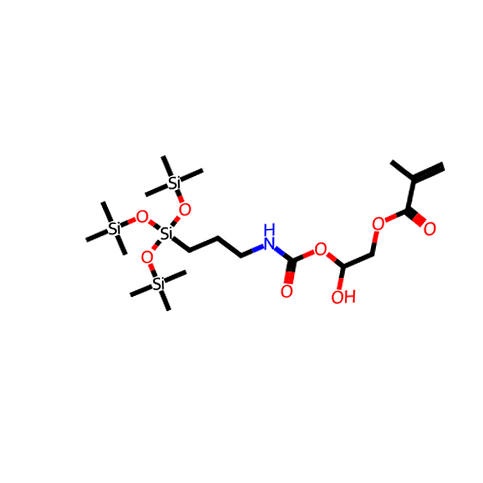 C=C(C)C(=O)OCC(O)OC(=O)NCCC[Si](O[Si](C)(C)C)(O[Si](C)(C)C)O[Si](C)(C)C